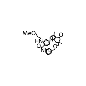 COCCCNc1cc(-n2cc(C)c3c2CC(C)(COCc2ccccc2)CC3=O)ccc1C(N)=O